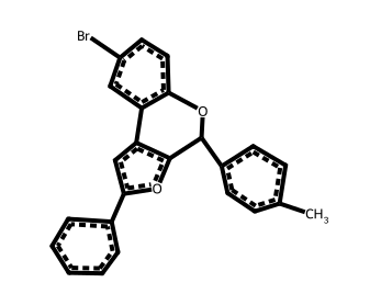 Cc1ccc(C2Oc3ccc(Br)cc3-c3cc(-c4ccccc4)oc32)cc1